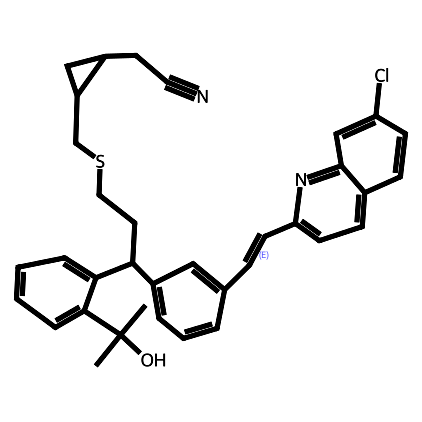 CC(C)(O)c1ccccc1C(CCSCC1CC1CC#N)c1cccc(/C=C/c2ccc3ccc(Cl)cc3n2)c1